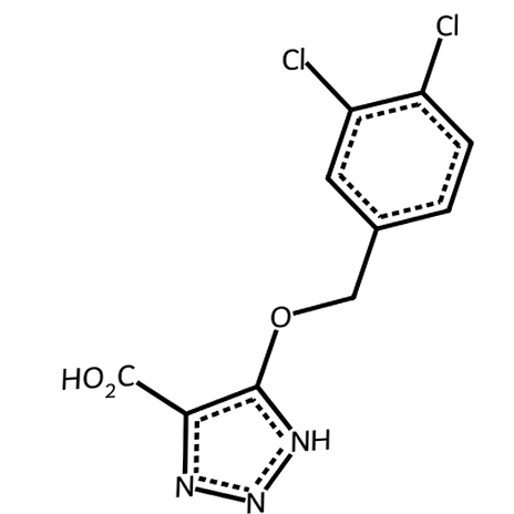 O=C(O)c1nn[nH]c1OCc1ccc(Cl)c(Cl)c1